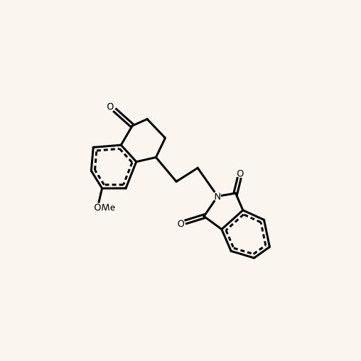 COc1ccc2c(c1)C(CCN1C(=O)c3ccccc3C1=O)CCC2=O